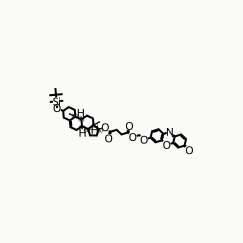 CC(C)(C)[Si](C)(C)OC1CC[C@@]2(C)C(=CC[C@H]3[C@@H]4CC[C@H](OC(=O)CCC(=O)OCOc5ccc6nc7ccc(=O)cc-7oc6c5)[C@@]4(C)CC[C@@H]32)C1